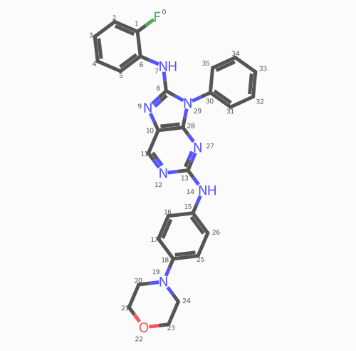 Fc1ccccc1Nc1nc2cnc(Nc3ccc(N4CCOCC4)cc3)nc2n1-c1ccccc1